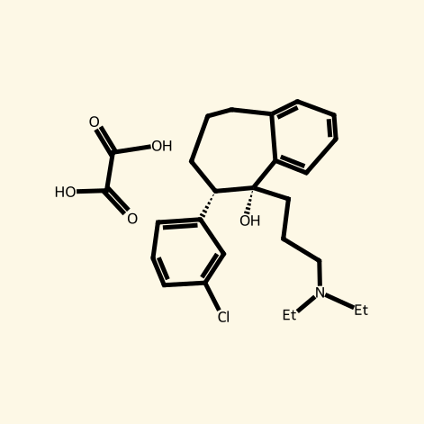 CCN(CC)CCC[C@]1(O)c2ccccc2CCC[C@H]1c1cccc(Cl)c1.O=C(O)C(=O)O